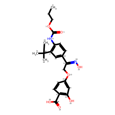 CCCOC(=O)Nc1ccc(C(COc2ccc(C(=O)O)c(O)c2)=NO)cc1C(C)(C)C